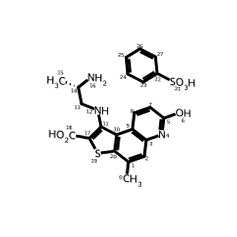 Cc1cc2nc(O)ccc2c2c(NC[C@H](C)N)c(C(=O)O)sc12.O=S(=O)(O)c1ccccc1